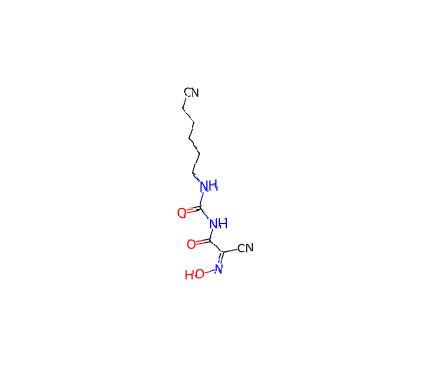 N#CCCCCCNC(=O)NC(=O)/C(C#N)=N\O